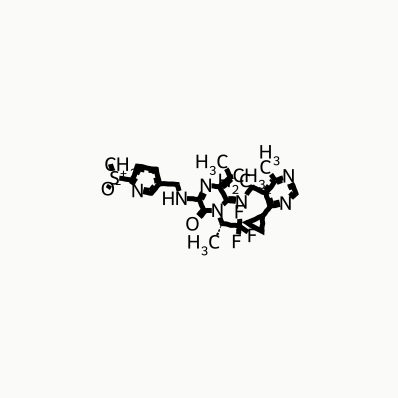 C=C(/N=C1\C(=C(C)C)N=C(NCc2ccc([S+](C)[O-])nc2)C(=O)N1[C@@H](C)C(F)(F)F)c1c(C)ncnc1C1CC1